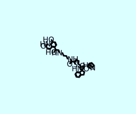 O=C(NCCCCNCC(O)c1ccc(O)c2[nH]c(=O)ccc12)c1ccc(CNC2(C(=O)O[C@H]3CN4CCC3CC4)CCc3ccccc32)s1